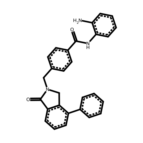 Nc1ccccc1NC(=O)c1ccc(CN2Cc3c(cccc3-c3ccccc3)C2=O)cc1